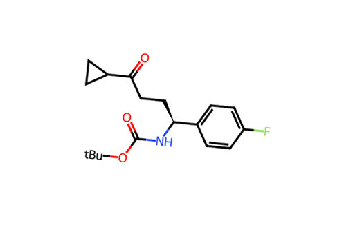 CC(C)(C)OC(=O)N[C@@H](CCC(=O)C1CC1)c1ccc(F)cc1